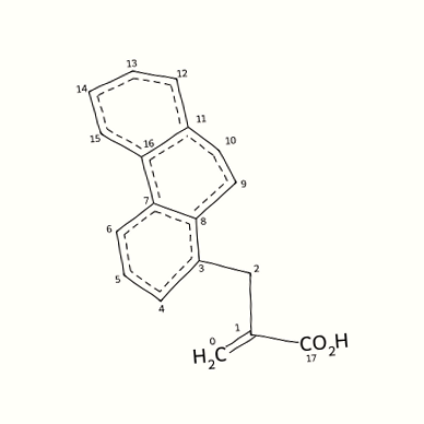 C=C(Cc1cccc2c1ccc1ccccc12)C(=O)O